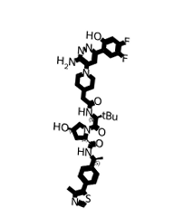 Cc1ncsc1-c1ccc([C@H](C)NC(=O)[C@@H]2C[C@@H](O)CN2C(=O)[C@@H](NC(=O)CC2CCN(c3cc(-c4cc(F)c(F)cc4O)nnc3N)CC2)C(C)(C)C)cc1